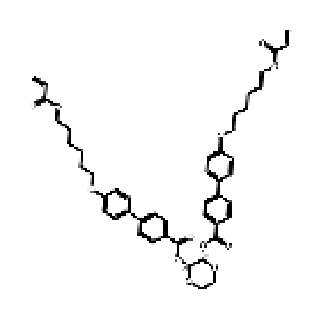 C=CC(=O)OCCCCCCOc1ccc(-c2ccc(C(=O)O[C@@H]3OCCO[C@H]3OC(=O)c3ccc(-c4ccc(OCCCCCCOC(=O)C=C)cc4)cc3)cc2)cc1